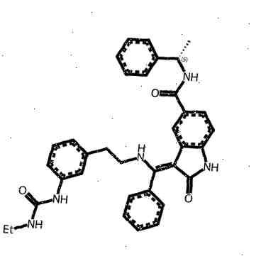 CCNC(=O)Nc1cccc(CCNC(=C2C(=O)Nc3ccc(C(=O)N[C@@H](C)c4ccccc4)cc32)c2ccccc2)c1